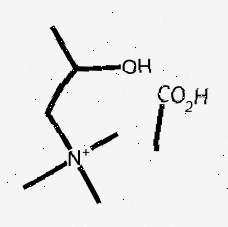 CC(=O)O.CC(O)C[N+](C)(C)C